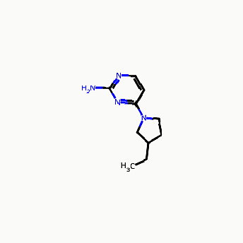 CCC1CCN(c2ccnc(N)n2)C1